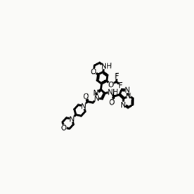 O=C(Nc1cn(CC(=O)N2CCC(N3CCOCC3)CC2)nc1-c1cc2c(cc1OC(F)F)NCCO2)c1cnn2cccnc12